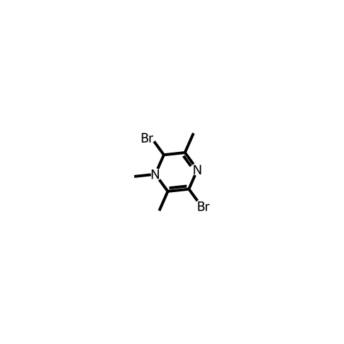 CC1=NC(Br)=C(C)N(C)C1Br